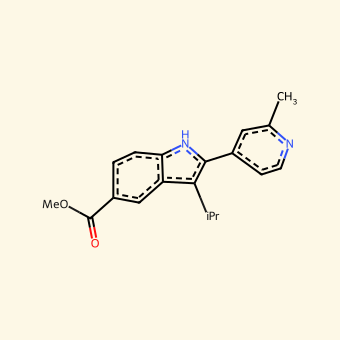 COC(=O)c1ccc2[nH]c(-c3ccnc(C)c3)c(C(C)C)c2c1